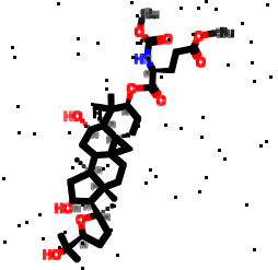 CC(C)(C)OC(=O)CC[C@H](NC(=O)OC(C)(C)C)C(=O)O[C@H]1CC[C@]23CC24CC[C@]2(C)[C@@H]([C@@]5(C)CC[C@@H](C(C)(C)O)O5)[C@@H](O)C[C@@]2(C)C4C[C@H](O)[C@H]3C1(C)C